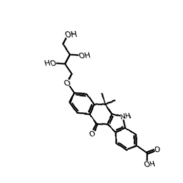 CC1(C)c2cc(OCC(O)C(O)CO)ccc2C(=O)c2c1[nH]c1cc(C(=O)O)ccc21